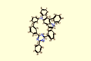 c1c2cc3c(c4ccccc4n3-c3cccc(-c4cccc(-c5nc(-c6ccccc6)nc(-c6ccccc6)n5)c4)c3)c3c4ccccc4n(c#1)c23